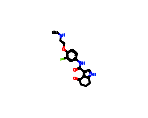 CC(C)(C)NCCOc1ccc(NC(=O)c2c[nH]c3c2C(=O)CCC3)cc1F